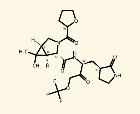 CC1(C)[C@@H]2[C@@H](C(=O)N[C@@H](C[C@@H]3CCNC3=O)C(=O)COC(F)(F)F)N(C(=O)[C@H]3CCCO3)C[C@@H]21